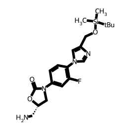 CC(C)(C)[Si](C)(C)OCc1cn(-c2ccc(N3C[C@H](CN)OC3=O)cc2F)cn1